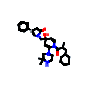 CC(CC1CCCCC1)C(=O)N1C=CC(O)(CN2C[C@H](c3ccccc3)CC2=O)C=C1N1CCNC(C)(C)C1